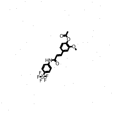 COc1cc(/C=C/C(=O)Nc2ccc(S(F)(F)(F)(F)F)cc2)ccc1OC(C)=O